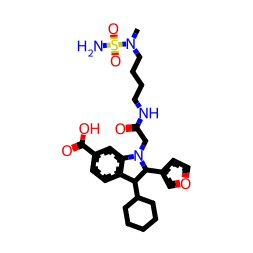 CN(CCCCNC(=O)CN1c2cc(C(=O)O)ccc2C(C2CCCCC2)C1c1ccoc1)S(N)(=O)=O